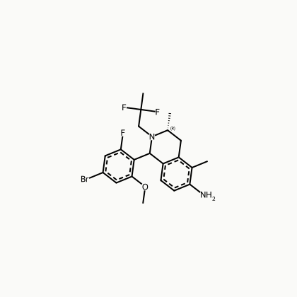 COc1cc(Br)cc(F)c1C1c2ccc(N)c(C)c2C[C@@H](C)N1CC(C)(F)F